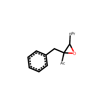 CCCC1OC1(Cc1ccccc1)C(C)=O